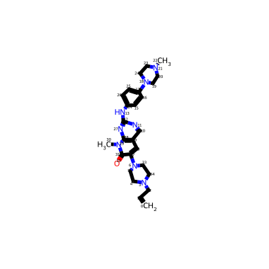 C=CCN1CCN(c2cc3cnc(Nc4ccc(N5CCN(C)CC5)cc4)nc3n(C)c2=O)CC1